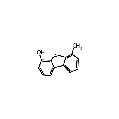 Cc1cccc2c1sc1c(O)cccc12